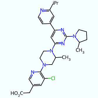 CC(C)c1cc(-c2cc(N3CCN(c4ncc(CC(=O)O)cc4Cl)CC3C)nc(N3CCCC3C)n2)ccn1